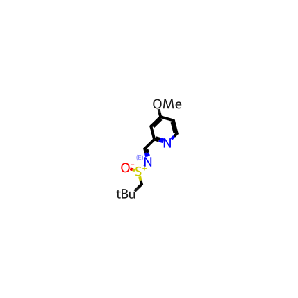 COc1ccnc(/C=N/[S+]([O-])CC(C)(C)C)c1